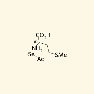 CC(=O)[Se].CSCC[C@H](N)C(=O)O